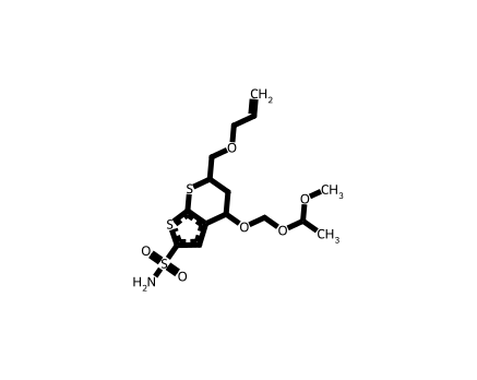 C=CCOCC1CC(OCOC(C)OC)c2cc(S(N)(=O)=O)sc2S1